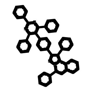 c1ccc(-c2nc(-c3ccccc3)c(-c3ccc(-c4nn5c(-c6ccccc6)cc6ccccc6c5c4-c4ccccc4)cc3)c(-c3ccccc3)n2)cc1